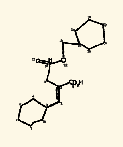 O=C(O)/C(=C/C1CCCCC1)C[PH](=O)OCC1CCCCC1